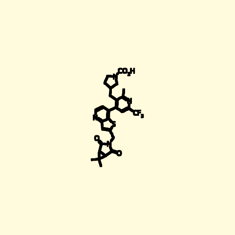 Cc1nc(C(F)(F)F)cc(-c2ccnc3cc(CN4C(=O)C5C(C4=O)C5(C)C)sc23)c1CC1CCN(C(=O)O)C1